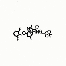 Cc1cc(OCc2c(F)cccc2F)c2nc(C)c(C(=O)NOC[C@H]3COC(C)(C)O3)n2c1